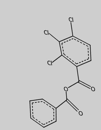 O=C(OC(=O)c1ccc(Cl)c(Cl)c1Cl)c1ccccc1